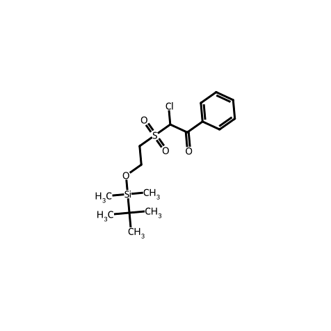 CC(C)(C)[Si](C)(C)OCCS(=O)(=O)C(Cl)C(=O)c1ccccc1